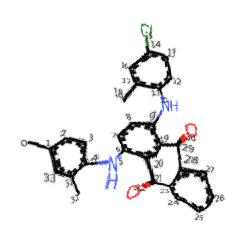 Cc1ccc(Nc2ccc(Nc3ccc(Cl)cc3C)c3c2C(=O)c2ccccc2C3=O)c(C)c1